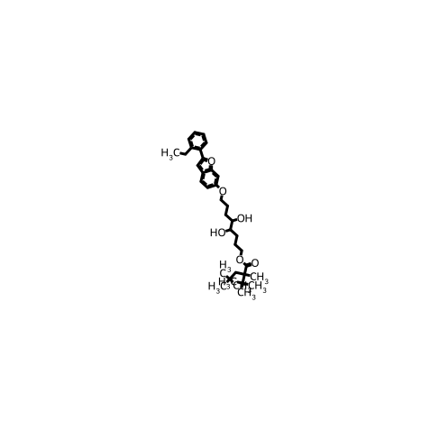 CCc1ccccc1-c1cc2ccc(OCCCC(O)C(O)CCCOC(=O)C(C)(CC(C)(C)C)C(C)(C)C)cc2o1